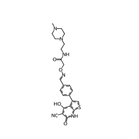 CN1CCN(CCNC(=O)CON=Cc2ccc(-c3csc4[nH]c(=O)c(C#N)c(O)c34)cc2)CC1